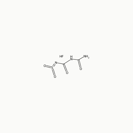 F.NC(=O)NC(=O)N=S(=O)=O